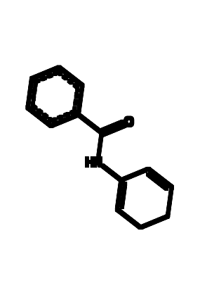 O=C(NC1=CCCC=C1)c1ccccc1